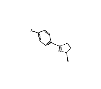 C[C@@H]1CCC(c2ccc(F)cc2)=N1